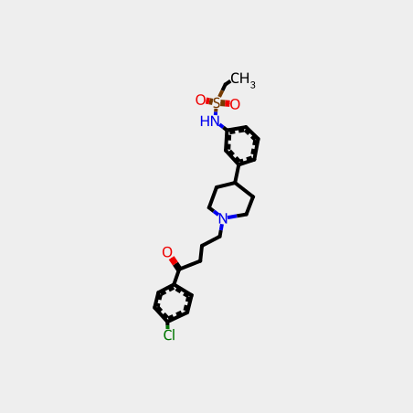 CCS(=O)(=O)Nc1cccc(C2CCN(CCCC(=O)c3ccc(Cl)cc3)CC2)c1